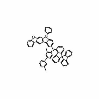 Cc1cccc(-c2ccc(N(c3ccc4c(c3)c3cc5c(cc3n4-c3ccccc3)oc3ccccc35)c3cccc4c3-c3ccccc3C43c4ccccc4-c4ccccc43)c(C)c2)c1